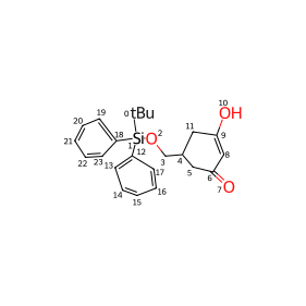 CC(C)(C)[Si](OCC1CC(=O)C=C(O)C1)(c1ccccc1)c1ccccc1